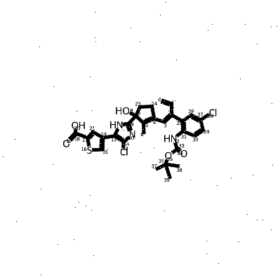 C=C/C(=C\C1=C(C)C(O)(c2nc(Cl)c(-c3csc(C(=O)O)c3)[nH]2)CC1)c1cc(Cl)ccc1NC(=O)OC(C)(C)C